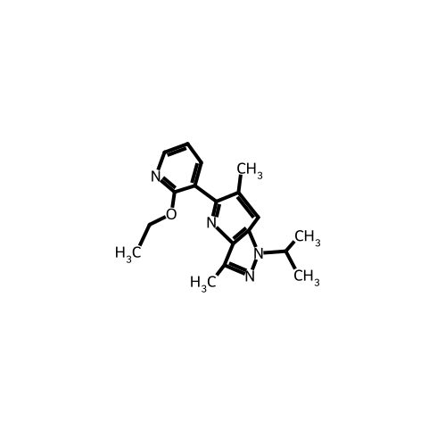 CCOc1ncccc1-c1nc2c(C)nn(C(C)C)c2cc1C